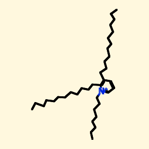 CCCCCCCCCCCCc1ccc[n+](CCCCCCCC)c1CCCCCCCCCCCC